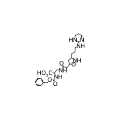 O=C(CC1CC(CCCNC2N=CCCN2)NO1)NCC(NC(=O)OCc1ccccc1)C(=O)O